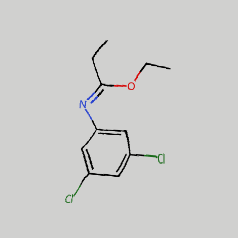 CCOC(CC)=Nc1cc(Cl)cc(Cl)c1